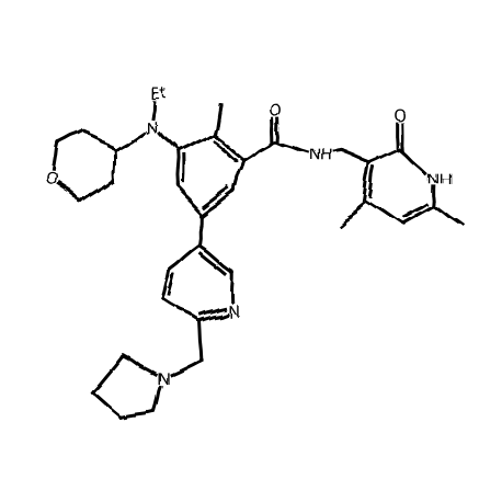 CCN(c1cc(-c2ccc(CN3CCCC3)nc2)cc(C(=O)NCc2c(C)cc(C)[nH]c2=O)c1C)C1CCOCC1